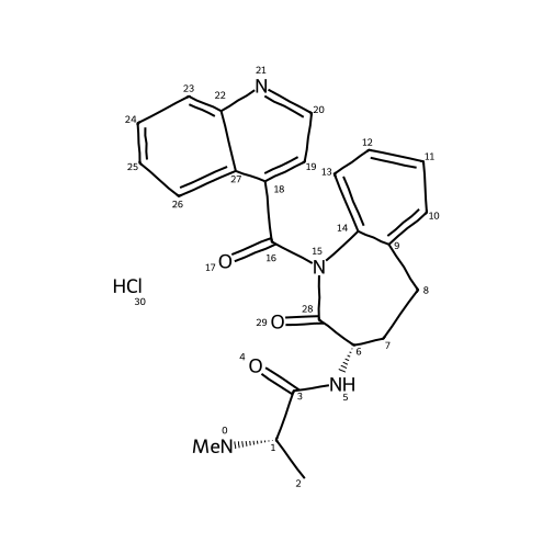 CN[C@@H](C)C(=O)N[C@H]1CCc2ccccc2N(C(=O)c2ccnc3ccccc23)C1=O.Cl